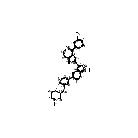 Fc1cccc(-c2nccc3[nH]c(-c4n[nH]c5ccc(-c6cncc(CC7CCCNC7)c6)cc45)cc23)c1